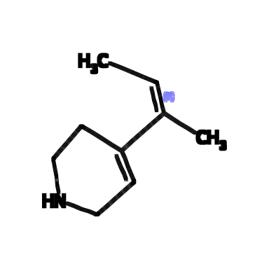 C/C=C(/C)C1=CCNCC1